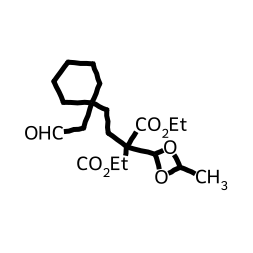 CCOC(=O)C(CCC1(CC=O)CCCCC1)(C(=O)OCC)C1OC(C)O1